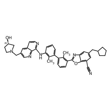 Cc1c(Nc2nccc3cc(CN4CC[C@@H](O)C4)cnc23)cccc1-c1cccc(-c2nc3cc(CC4CCCC4)cc(C#N)c3o2)c1C